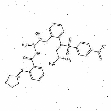 CC(C)CN(c1ccccc1C[C@@H](O)[C@H](C)NC(=O)c1ccccc1O[C@H]1CCOC1)S(=O)(=O)c1ccc([N+](=O)[O-])cc1